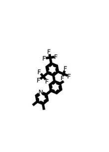 Cc1cnc(-c2ccc(C)c(-c3c(C(F)(F)F)cc(C(F)(F)F)cc3C(F)(F)F)c2)cc1C